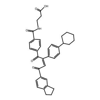 O=C(O)CCNC(=O)c1ccc(C(=O)C(=CC(=O)c2ccc3c(c2)CCC3)c2ccc(C3CCCCC3)cc2)cc1